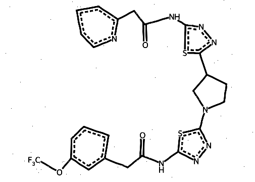 O=C(Cc1ccccn1)Nc1nnc(C2CCN(c3nnc(NC(=O)Cc4cccc(OC(F)(F)F)c4)s3)C2)s1